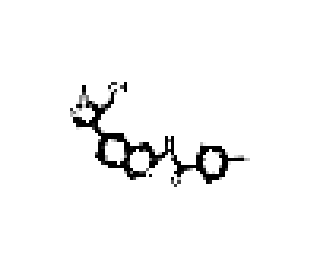 Cn1ncc(-c2ccc3cnc(NC(=O)c4ccc(F)cc4)cc3c2)c1CO